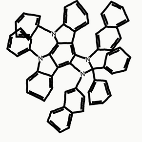 c1ccc(-n2c3ccccc3c3c4c(c5c6ccccc6n(-c6ccccc6)c5c32)N(c2ccc3ccccc3c2)C(c2ccccc2)(c2ccccc2)N4c2ccc3ccccc3c2)cc1